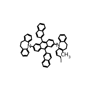 CC1=C(/C=C\CI)N(c2ccc3c(-c4ccc5ccccc5c4)c4cc(N5c6ccccc6CCc6ccccc65)ccc4c(-c4ccc5ccccc5c4)c3c2)c2ccccc2CC1